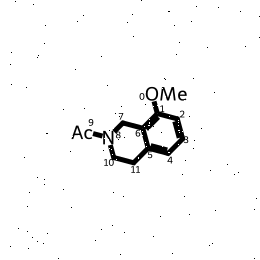 COc1cccc2c1CN(C(C)=O)CC2